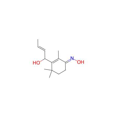 CC=CC(O)C1=C(C)C(=NO)CCC1(C)C